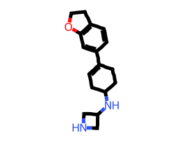 C1=C(c2ccc3c(c2)OCC3)CCC(NC2CNC2)C1